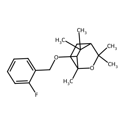 CC1(C)OC2(C)CCC1C(C)(C)C2OCc1ccccc1F